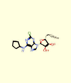 COC[C@H]1O[C@@H](n2cnc3c(NC4CCCC4)nc(Cl)nc32)[C@H](O)[C@@H]1O